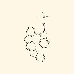 C[Si](C)(C)C#CC1=C(c2cccc3c2-c2cc4c(cc2C3)Cc2ccccc2-4)c2ccccc2C1